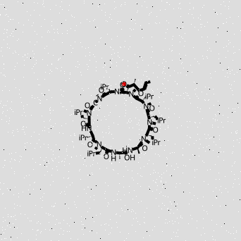 C/C=C/C[C@@H](C)C(=O)[C@H]1C(=O)N[C@@H](C(C)C)C(=O)N(C)CC(=O)N(C)[C@@H](CC(C)C)C(=O)N[C@@H](C(C)C)C(=O)N(C)[C@@H](CC(C)C)C(=O)N[C@@H](C)C(O)N[C@H](C)C(=O)N(C)[C@@H](CC(C)C)C(=O)N(C)[C@@H](CC(C)C)C(=O)N(C)[C@@H](C(C)C)C(=O)N1C